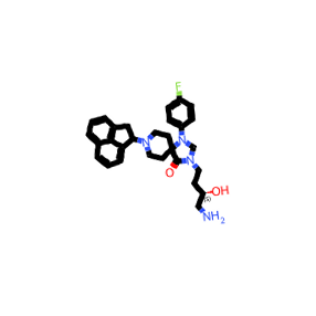 NC[C@@H](O)CCN1CN(c2ccc(F)cc2)C2(CCN(C3Cc4cccc5cccc3c45)CC2)C1=O